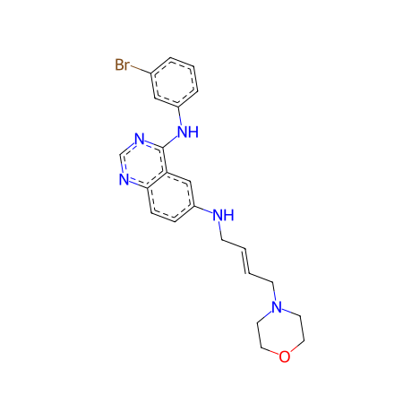 Brc1cccc(Nc2ncnc3ccc(NC/C=C/CN4CCOCC4)cc23)c1